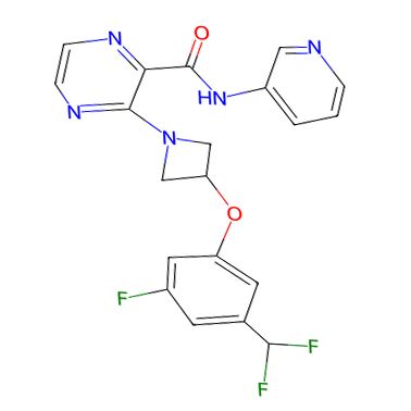 O=C(Nc1cccnc1)c1nccnc1N1CC(Oc2cc(F)cc(C(F)F)c2)C1